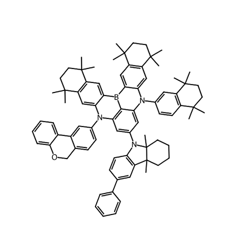 CC1(C)CCC(C)(C)c2cc(N3c4cc5c(cc4B4c6cc7c(cc6N(c6ccc8c(c6)-c6ccccc6OC8)c6cc(N8c9ccc(-c%10ccccc%10)cc9C9(C)CCCCC89C)cc3c64)C(C)(C)CCC7(C)C)C(C)(C)CCC5(C)C)ccc21